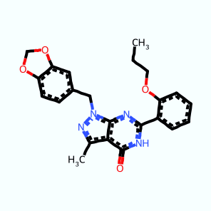 CCCOc1ccccc1-c1nc2c(c(C)nn2Cc2ccc3c(c2)OCO3)c(=O)[nH]1